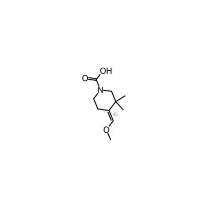 CO/C=C1\CCN(C(=O)O)CC1(C)C